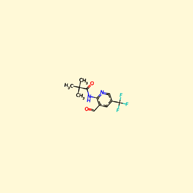 CC(C)(C)C(=O)Nc1ncc(C(F)(F)F)cc1C=O